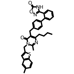 CCCCc1nc(C)n(Cc2cc3cc(C)ccc3s2)c(=O)c1Cc1ccc(-c2ccccc2-c2noc(=O)[nH]2)cc1